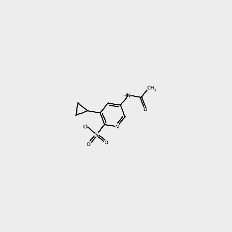 CC(=O)Nc1cnc(S(=O)(=O)Cl)c(C2CC2)c1